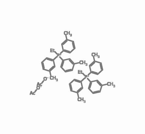 CC(=O)[O-].CC(=O)[O-].CC[P+](c1cccc(C)c1)(c1cccc(C)c1)c1cccc(C)c1.CC[P+](c1cccc(C)c1)(c1cccc(C)c1)c1cccc(C)c1